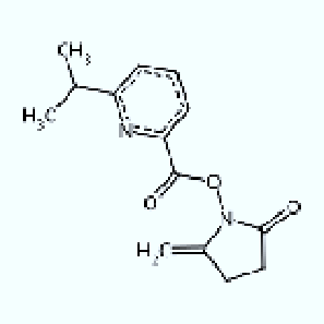 C=C1CCC(=O)N1OC(=O)c1cccc(C(C)C)n1